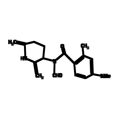 C=C1CCC(N(C=O)C(=O)c2ccc(NC)cc2C)C(=C)N1